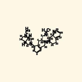 CN(C[C@H]1Cc2c(cccc2N2C[C@H]3CCN(C)[C@H]3C2)CN1)[C@H]1CCCc2cccnc21